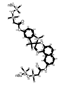 CCCC[Si](C)(C)O[Si](C)(C)CC(=O)Oc1ccc2c(c1)C(C)(C)C1(C=Nc3c(ccc4ccc(OC(=O)C[Si](C)(C)O[Si](C)(C)CCCC)cc34)O1)N2C